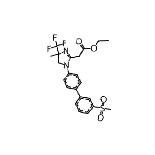 CCOC(=O)CC1=NC(C)(C(F)(F)F)CN1c1ccc(-c2cccc(S(C)(=O)=O)c2)cc1